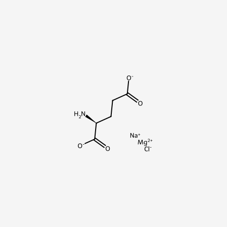 N[C@@H](CCC(=O)[O-])C(=O)[O-].[Cl-].[Mg+2].[Na+]